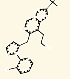 CCCc1c(Cc2ccnn2-c2ncccc2Br)ncn2nc(C(F)(F)F)nc12